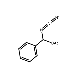 CC(=O)OC(N=[N+]=[N-])c1ccccc1